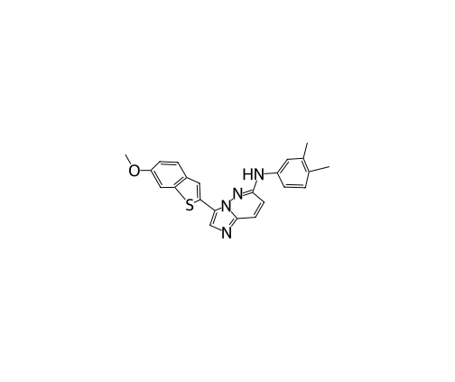 COc1ccc2cc(-c3cnc4ccc(Nc5ccc(C)c(C)c5)nn34)sc2c1